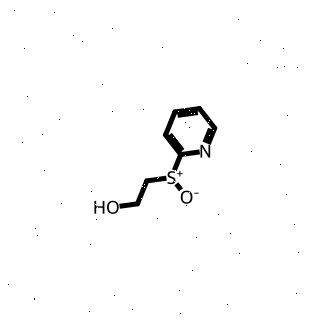 [O-][S+](CCO)c1ccccn1